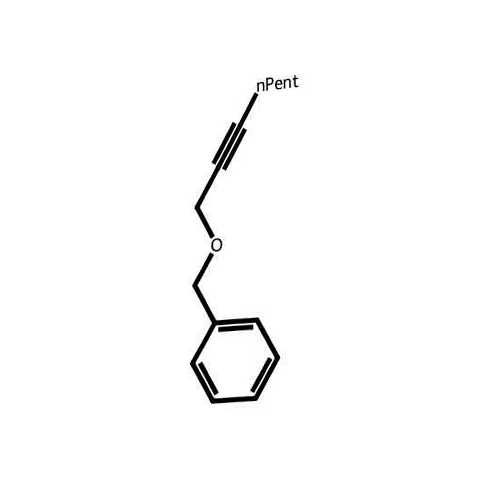 CCCCCC#CCOCc1ccccc1